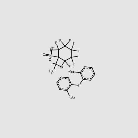 CC(C)(C)c1ccccc1[I+]c1ccccc1C(C)(C)C.O=S(=O)([O-])C1(C(F)(F)C(F)(F)F)C(F)(F)C(F)(F)C(F)(F)C(F)(F)C1(F)F